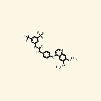 COc1cc2nccc(Oc3ccc(NC(=O)Nc4cc(C(F)(F)F)cc(C(F)(F)F)c4)cc3)c2cc1OC